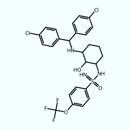 N=S(=O)(NC1CCCC(NC(c2ccc(Cl)cc2)c2ccc(Cl)cc2)C1O)c1ccc(OC(F)(F)F)cc1